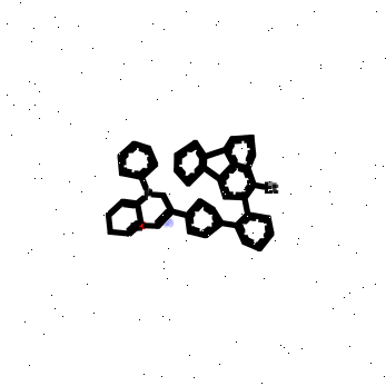 C=C/C=C(\CP(C1=CCCC=C1)c1ccccc1)c1ccc(-c2ccccc2-c2cc3c4c(cccc4c2CC)-c2ccccc2-3)cc1